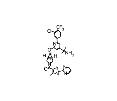 Cc1nc(-c2ncccn2)sc1C(=O)N1C[C@@H]2[C@H](C1)[C@@H]2Oc1cc(C(C)(C)N)cc(-c2ccc(C(F)(F)F)c(Cl)c2)n1